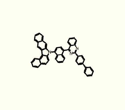 c1ccc(-c2ccc(-c3nc(-c4ccc(-n5c6cc7ccccc7cc6c6c7ccccc7ccc65)c5ccccc45)c4ccccc4n3)cc2)cc1